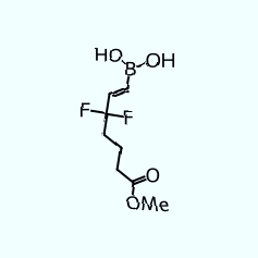 COC(=O)CCCC(F)(F)/C=C/B(O)O